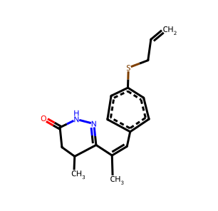 C=CCSc1ccc(C=C(C)C2=NNC(=O)CC2C)cc1